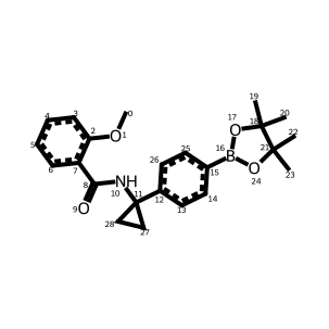 COc1ccccc1C(=O)NC1(c2ccc(B3OC(C)(C)C(C)(C)O3)cc2)CC1